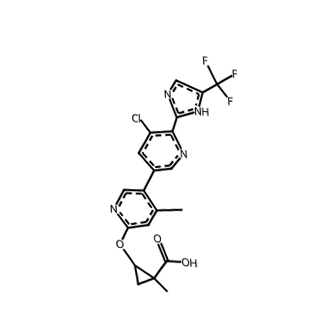 Cc1cc(OC2CC2(C)C(=O)O)ncc1-c1cnc(-c2ncc(C(F)(F)F)[nH]2)c(Cl)c1